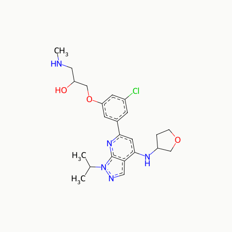 CNCC(O)COc1cc(Cl)cc(-c2cc(NC3CCOC3)c3cnn(C(C)C)c3n2)c1